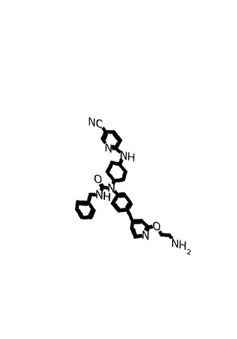 N#Cc1ccc(NC2CCC(N(C(=O)NCc3ccccc3)c3ccc(-c4ccnc(OCCN)c4)cc3)CC2)nc1